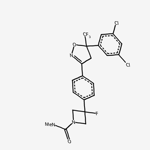 CNC(=O)N1CC(F)(c2ccc(C3=NOC(c4cc(Cl)cc(Cl)c4)(C(F)(F)F)C3)cc2)C1